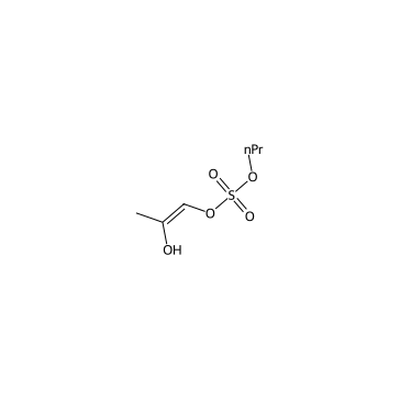 CCCOS(=O)(=O)OC=C(C)O